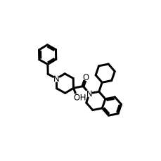 O=C(N1CCc2ccccc2C1C1CCCCC1)C1(O)CCN(Cc2ccccc2)CC1